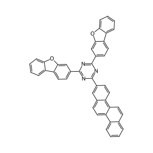 c1ccc2c(c1)ccc1c3ccc(-c4nc(-c5ccc6c(c5)oc5ccccc56)nc(-c5ccc6c(c5)oc5ccccc56)n4)cc3ccc21